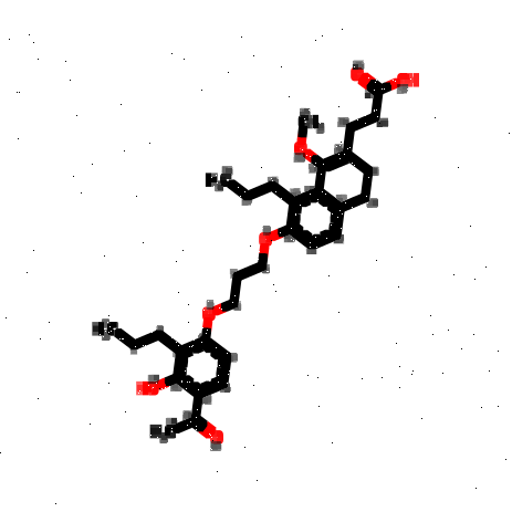 CCCc1c(OCCCOc2ccc3c(c2CCC)C(OC)=C(CCC(=O)O)CC3)ccc(C(C)=O)c1O